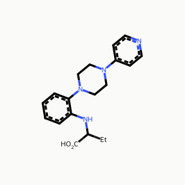 CCC(Nc1ccccc1N1CCN(c2ccncc2)CC1)C(=O)O